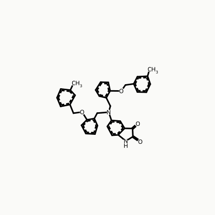 Cc1cccc(COc2ccccc2CN(Cc2ccccc2OCc2cccc(C)c2)c2ccc3c(c2)C(=O)C(=O)N3)c1